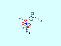 C=Cc1cc(C2COC(C)(C)N2C(=O)OC(C)(C)C)ccc1Cl